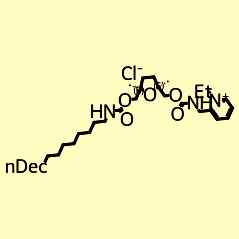 CCCCCCCCCCCCCCCCCCNC(=O)OC[C@@]1(C)CC[C@@](C)(COC(=O)NCc2cccc[n+]2CC)O1.[Cl-]